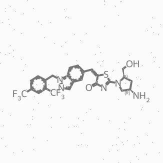 N[C@@H]1C[C@H](CO)N(C2=NC(=O)C(=Cc3ccc4c(cnn4Cc4ccc(C(F)(F)F)cc4C(F)(F)F)c3)S2)C1